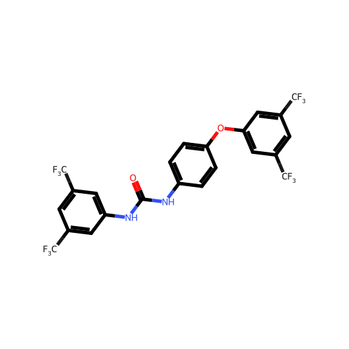 O=C(Nc1ccc(Oc2cc(C(F)(F)F)cc(C(F)(F)F)c2)cc1)Nc1cc(C(F)(F)F)cc(C(F)(F)F)c1